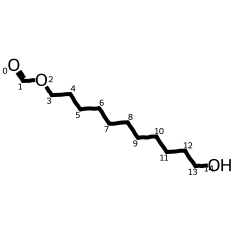 O=COCCCCCCCCCCCO